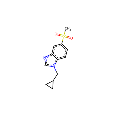 CS(=O)(=O)c1ccc2c(c1)n[c]n2CC1CC1